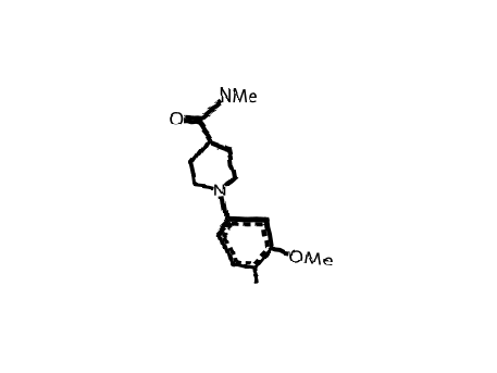 CNC(=O)C1CCN(c2ccc(C)c(OC)c2)CC1